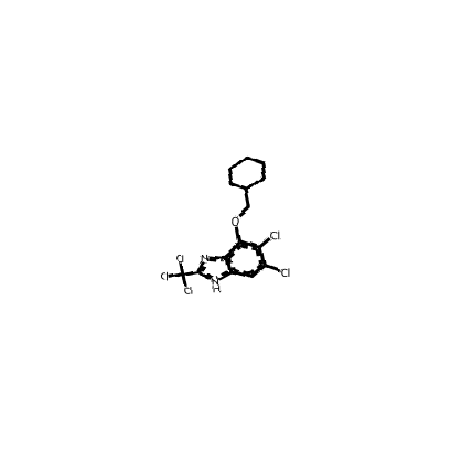 Clc1cc2[nH]c(C(Cl)(Cl)Cl)nc2c(OCC2CCCCC2)c1Cl